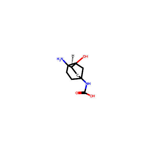 NC12CCC(NC(=O)O)(CC1)C[C@@H]2O